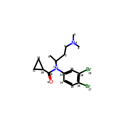 CC(CCN(C)C)N(C(=O)C1CC1)c1ccc(Br)c(Br)c1